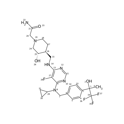 CC(O)(c1ccc(CN(c2ncnc(NC[C@@H]3CCN(CC(N)=O)C[C@H]3O)c2F)C2CC2)cc1)C(F)(F)F